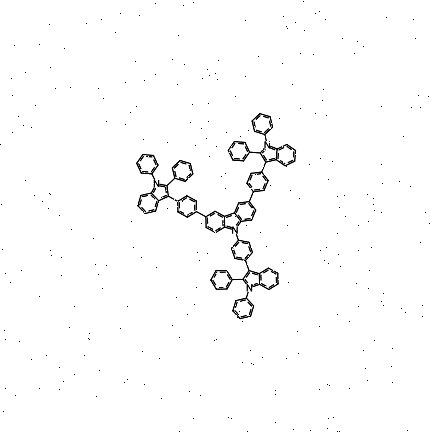 c1ccc(-c2c(-c3ccc(-c4ccc5c(c4)c4cc(-c6ccc(-c7c(-c8ccccc8)n(-c8ccccc8)c8ccccc78)cc6)ccc4n5-c4ccc(-c5c(-c6ccccc6)n(-c6ccccc6)c6ccccc56)cc4)cc3)c3ccccc3n2-c2ccccc2)cc1